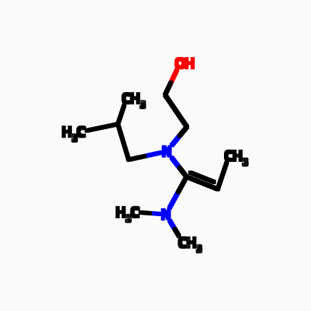 CC=C(N(C)C)N(CCO)CC(C)C